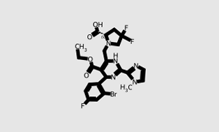 CCOC(=O)C1=C(CN2CC(F)(F)C[C@H]2C(=O)O)NC(c2nccn2C)=NC1c1ccc(F)cc1Br